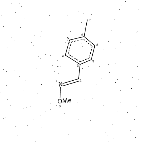 CO/N=C/c1c[c]c(C)cc1